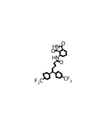 O=C(/C=C/C=C(c1ccc(C(F)(F)F)cc1)c1ccc(C(F)(F)F)cc1)Nc1cccc2c1C(=O)NC2=O